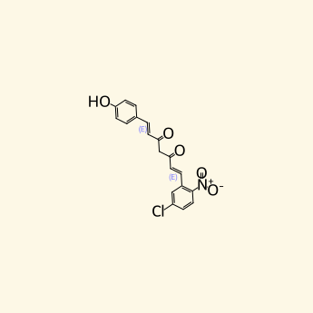 O=C(/C=C/c1ccc(O)cc1)CC(=O)/C=C/c1cc(Cl)ccc1[N+](=O)[O-]